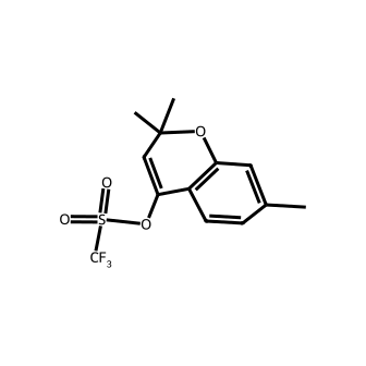 Cc1ccc2c(c1)OC(C)(C)C=C2OS(=O)(=O)C(F)(F)F